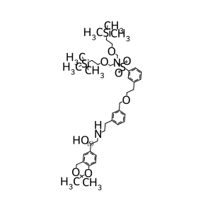 CC1(C)OCc2cc([C@H](O)CNCCc3cccc(COCCc4cccc(S(=O)(=O)N(COCC[Si](C)(C)C)COCC[Si](C)(C)C)c4)c3)ccc2O1